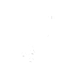 CCCCCCCC/C=C\CCCCCCCC(=O)[O-].c1ccc([S+](c2ccccc2)c2ccccc2)cc1